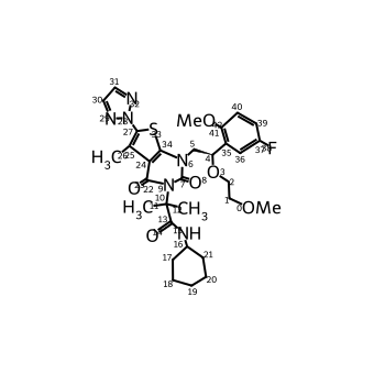 COCCO[C@@H](Cn1c(=O)n(C(C)(C)C(=O)NC2CCCCC2)c(=O)c2c(C)c(-n3nccn3)sc21)c1cc(F)ccc1OC